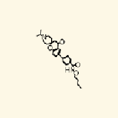 CCCCONC(=O)c1ccc(-c2ccc3c(c2)C(=O)CC2(CCN(C(C)C)CC2)O3)cc1